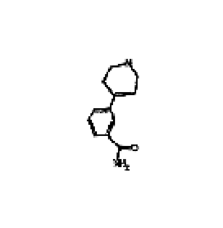 NC(=O)c1cccc(C2=CC[N]CC2)c1